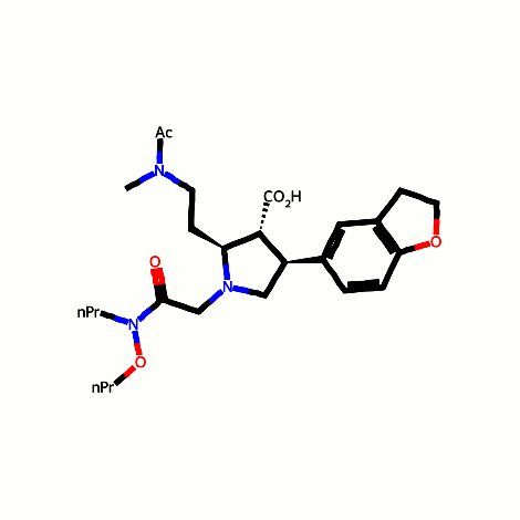 CCCON(CCC)C(=O)CN1C[C@H](c2ccc3c(c2)CCO3)[C@@H](C(=O)O)[C@@H]1CCN(C)C(C)=O